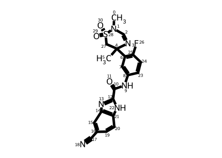 CN1C=NC(C)(c2cc(NC(=O)c3nc4cc(C#N)ccc4[nH]3)ccc2F)CS1(=O)=O